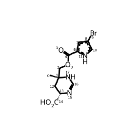 C[C@]1(COC(=O)c2cc(Br)c[nH]2)C[C@@H](C(=O)O)N=CN1